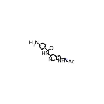 CC(=O)/C=C/c1cc2cc(NC(=O)c3ccc(N)cc3)ncc2[nH]1